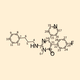 Cn1c(NCCCc2ccccc2)nc(-c2ccncc2)c(-c2ccc(F)cc2)c1=O